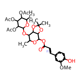 COc1cc(/C=C/C(=O)OC2OC(C)C(OC3OC(C)C(OC(C)=O)C(OC(C)=O)C3OC(C)=O)C3OC(C)(C)OC23)ccc1O